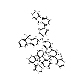 CC1(C)c2ccccc2-c2ccc(N(c3ccc(-c4cccc5c4oc4ccccc45)cc3)c3ccc4c(c3)oc3c(-c5cccc6c5-c5ccccc5C65c6ccccc6-c6ccccc65)c5c(cc34)oc3ccccc35)cc21